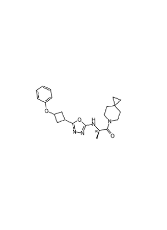 C[C@@H](Nc1nnc(C2CC(Oc3ccccc3)C2)o1)C(=O)N1CCC2(CC1)CC2